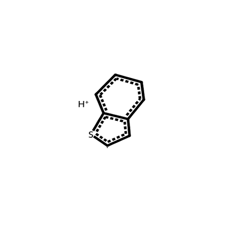 [H+].[c]1cc2ccccc2s1